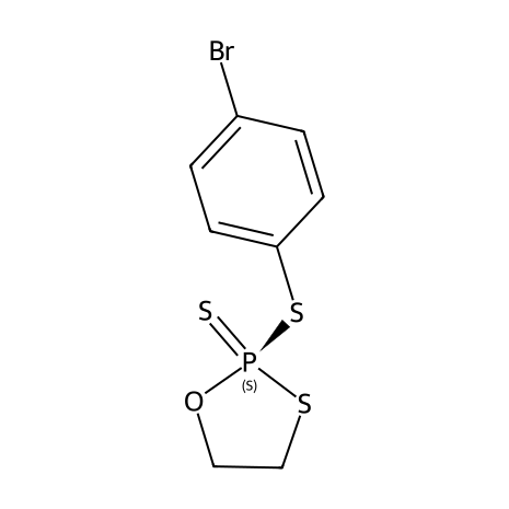 S=[P@@]1(Sc2ccc(Br)cc2)OCCS1